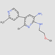 CCOCCNc1nc(CC)c(-c2ccnc(C)c2)cc1N